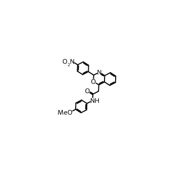 COc1ccc(NC(=O)CC2=c3ccccc3=NC(c3ccc([N+](=O)[O-])cc3)O2)cc1